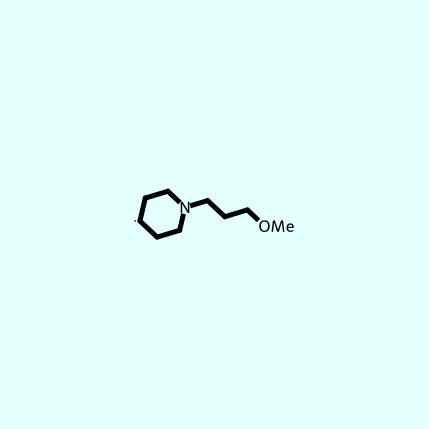 COCCCN1CC[CH]CC1